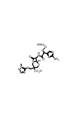 CCCCCCON=C(C(=O)NC1C(=O)N2CC(CSc3nnnn3C)(C(=O)O)CS[C@H]12)c1csc(N)n1